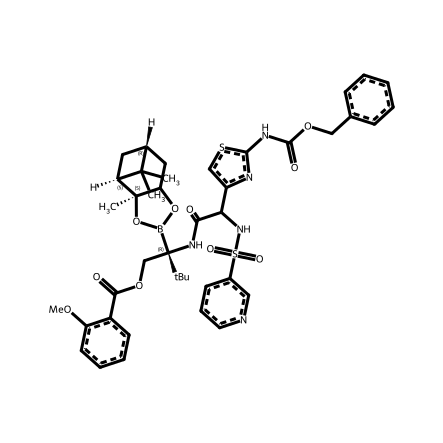 COc1ccccc1C(=O)OC[C@@](NC(=O)C(NS(=O)(=O)c1cccnc1)c1csc(NC(=O)OCc2ccccc2)n1)(B1OC2C[C@H]3C[C@@H](C3(C)C)[C@]2(C)O1)C(C)(C)C